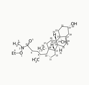 CCON(C)C(=O)CC[C@@H](C)[C@H]1CC[C@H]2[C@@H]3CC=C4C[C@@H](O)CC[C@]4(C)[C@H]3CC[C@]12C